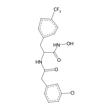 O=C(Cc1cccc(Cl)c1)NC(Cc1ccc(C(F)(F)F)cc1)C(=O)NO